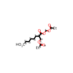 CCC(=O)OCOC(=O)C(CCCCCC(=O)O)COC(=O)CC